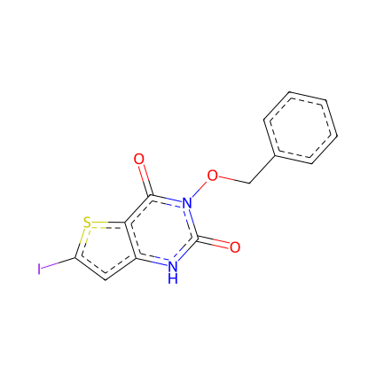 O=c1[nH]c2cc(I)sc2c(=O)n1OCc1ccccc1